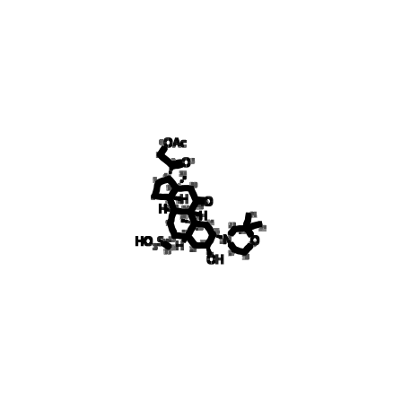 CC(=O)OCC(=O)[C@H]1CC[C@H]2[C@@H]3CC[C@H]4C[C@H](O)[C@@H](N5CCOC(C)(C)C5)C[C@]4(C)[C@H]3C(=O)C[C@]12C.CS(=O)(=O)O